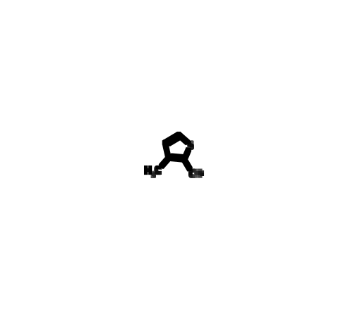 [CH]c1sccc1C